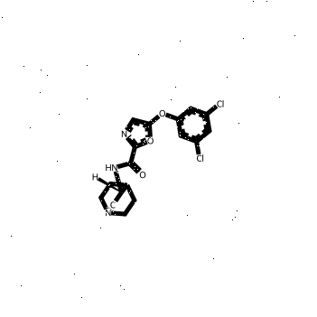 O=C(N[C@H]1CN2CCC1CC2)c1ncc(Oc2cc(Cl)cc(Cl)c2)o1